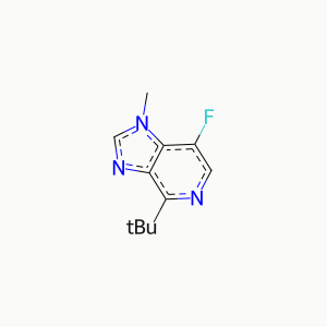 Cn1cnc2c(C(C)(C)C)ncc(F)c21